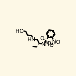 CC[C@H](CNCCCO)NS(=O)(=O)c1ccccc1[N+](=O)[O-]